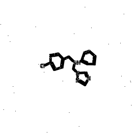 Clc1ccc(C[SiH](Cn2cncn2)c2ccccc2)cc1